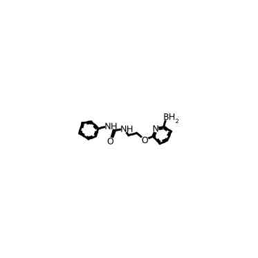 Bc1cccc(OCCNC(=O)Nc2ccccc2)n1